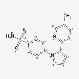 Cc1ccc(-c2cccn2-c2ccc(S(N)(=O)=O)cc2)nc1